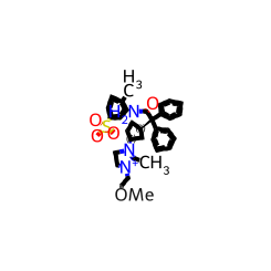 COCC[N+]1=C(C)N([C@H]2CC[C@@H](C(C(N)=O)(c3ccccc3)c3ccccc3)C2)CC1.Cc1ccc(S(=O)(=O)[O-])cc1